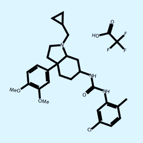 COc1ccc(C23CCC(NC(=O)Nc4cc(Cl)ccc4C)CC2N(CC2CC2)CC3)cc1OC.O=C(O)C(F)(F)F